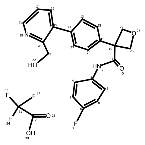 O=C(Nc1ccc(F)cc1)C1(c2ccc(-c3cccnc3CO)cc2)COC1.O=C(O)C(F)(F)F